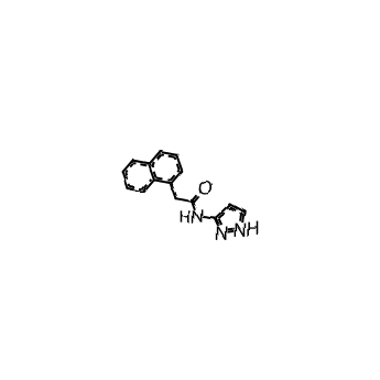 O=C(Cc1cccc2ccccc12)Nc1cc[nH]n1